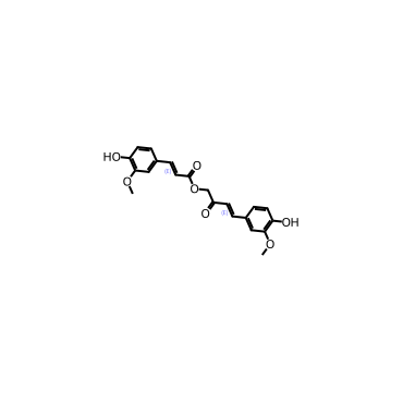 COc1cc(/C=C/C(=O)COC(=O)/C=C/c2ccc(O)c(OC)c2)ccc1O